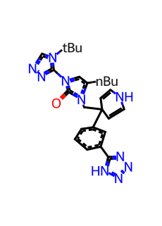 CCCCc1cn(-c2nncn2C(C)(C)C)c(=O)n1CC1(c2cccc(-c3nnn[nH]3)c2)C=CNC=C1